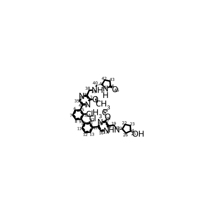 COc1nc(-c2cccc(-c3cccc(-c4cnc(CN[C@@H]5CC[C@H](O)C5)c(OC)n4)c3Cl)c2Cl)cnc1CNC[C@@H]1CCC(=O)N1